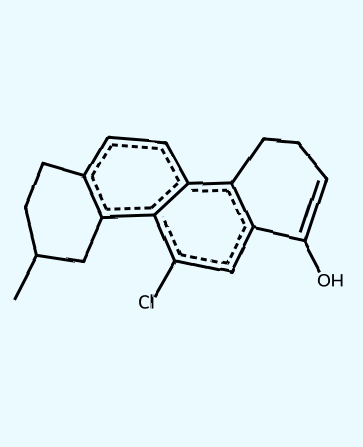 CC1CCc2ccc3c4c(cc(Cl)c3c2C1)C(O)=CCC4